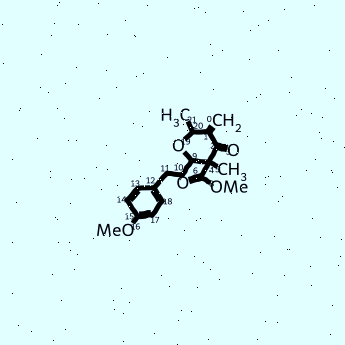 C=C1C(=O)C(C)(C(=O)OC)C(CCc2ccc(OC)cc2)OC1C